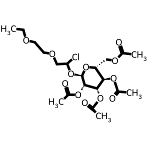 CCOCCOCC(Cl)O[C@H]1O[C@H](COC(C)=O)[C@@H](OC(C)=O)[C@H](OC(C)=O)[C@@H]1OC(C)=O